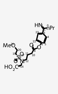 CCCC(=N)c1ccc(OC(=O)CCCN(CC(=O)O)S(=O)(=O)CCOC)cc1